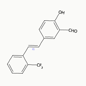 O=Cc1cc(/C=C/c2ccccc2C(F)(F)F)ccc1O